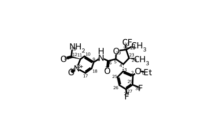 CCOc1c([C@@H]2C(C(=O)NC3=C[C@H](C(N)=O)[N+](=O)C=C3)O[C@@](C)(C(F)(F)F)[C@H]2C)ccc(F)c1F